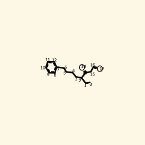 CCC(CCCCc1ccccc1)C(=O)CC=O